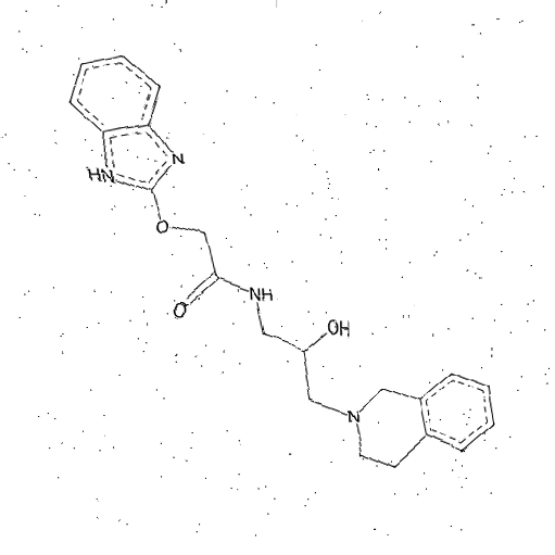 O=C(COc1nc2ccccc2[nH]1)NCC(O)CN1CCc2ccccc2C1